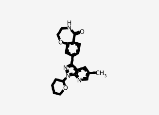 Cc1cnc2c(c1)c(-c1ccc3c(c1)OCCNC3=O)nn2C1CCCCO1